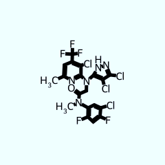 Cc1cc(C(F)(F)F)c(Cl)c(N(CC(=O)N(C)c2cc(Cl)c(F)cc2F)c2[nH]nc(Cl)c2Cl)n1